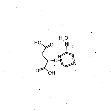 Nc1cnccn1.O.O=C(O)CC(O)C(=O)O